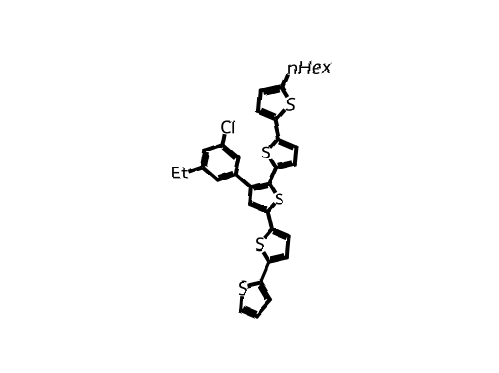 CCCCCCc1ccc(-c2ccc(-c3sc(-c4ccc(-c5cccs5)s4)cc3-c3cc(Cl)cc(CC)c3)s2)s1